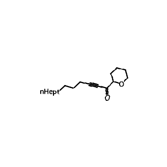 CCCCCCCCCCC#CC(=O)C1CCCCO1